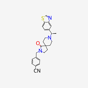 C[C@H](c1ccc2scnc2c1)N1CCC2(CCN(Cc3ccc(C#N)cc3)C2=O)CC1